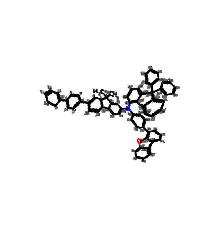 CC1(C)c2cc(-c3ccc(-c4ccccc4)cc3)ccc2-c2ccc(N(c3ccc(-c4cccc5c4oc4ccccc45)cc3)c3cccc4c3-c3ccccc3C4(c3ccccc3)c3ccccc3)cc21